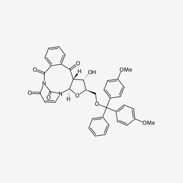 COc1ccc(C(OC[C@H]2O[C@@H]3[C@H](C(=O)c4ccccc4C(=O)n4c(=O)ccn3c4=O)[C@@H]2O)(c2ccccc2)c2ccc(OC)cc2)cc1